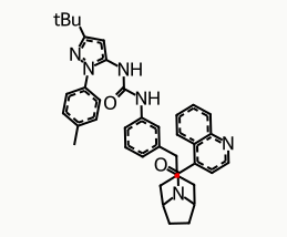 Cc1ccc(-n2nc(C(C)(C)C)cc2NC(=O)Nc2cccc(CC3CC4CCC(C3)N4C(=O)c3ccnc4ccccc34)c2)cc1